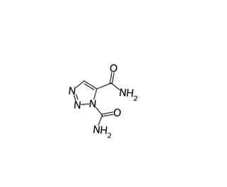 NC(=O)c1cnnn1C(N)=O